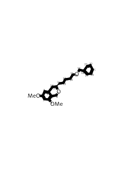 COc1cc2c(c(OC)c1)CO[C@H](CCCCCOCc1ccccc1)C2